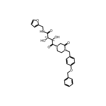 O=C(NCc1ccco1)[C@H](O)[C@@H](O)C(=O)N1CCN(Cc2ccc(OCc3ccccc3)cc2)C(=O)C1